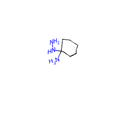 NNC1(N)CCCCC1